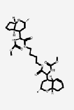 COC(=O)NC(C(=O)OCCCCOC(=O)[C@@H](NC(=O)OC)C1C[C@@H](C)O[C@H]2CCC[C@@H]12)C1C[C@@H](C)O[C@H]2CCC=C[C@@H]12